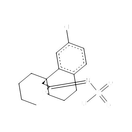 O=S(=O)(Cl)N=C1C[C@]23CCCC[C@]2(CCc2ccc(Cl)cc23)O1